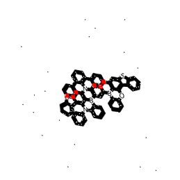 c1ccc(-c2cccc(-c3ccccc3)c2N2c3cc4c(cc3B3c5ccccc5N(c5ccccc5)c5c3c2cc2oc3ccccc3c52)B2c3ccccc3Oc3c2c(cc2sc5ccccc5c32)O4)cc1